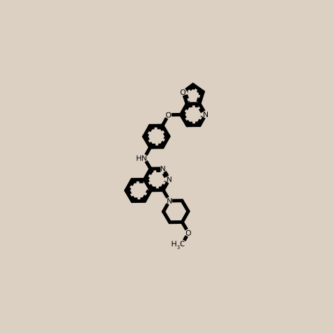 COC1CCN(c2nnc(Nc3ccc(Oc4ccnc5ccoc45)cc3)c3ccccc23)CC1